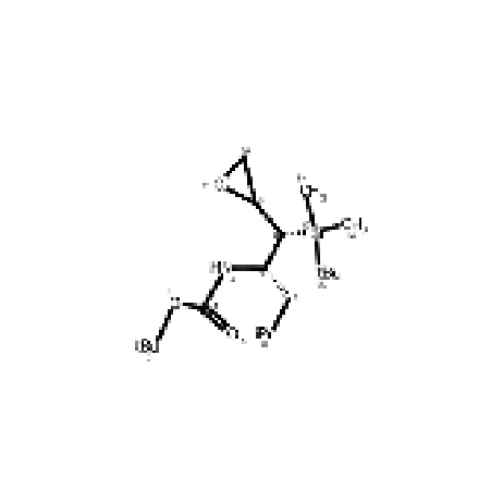 CC(C)C[C@H](NC(=O)OC(C)(C)C)[C@H](C1CO1)[Si](C)(C)C(C)(C)C